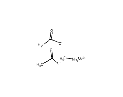 CC(=O)[O-].CC(=O)[O-].CN.[Cu+2]